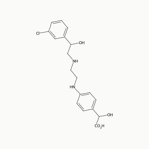 O=C(O)C(O)c1ccc(NCCNCC(O)c2cccc(Cl)c2)cc1